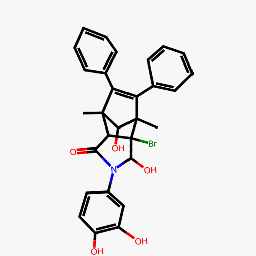 CC12C(c3ccccc3)=C(c3ccccc3)C(C)(C1O)C1(Br)C(O)N(c3ccc(O)c(O)c3)C(=O)C21